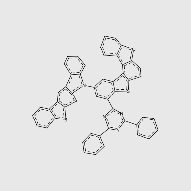 c1ccc(-c2nc(-c3ccccc3)nc(-c3cc(-n4c5ccccc5c5cc6c(cc54)sc4ccccc46)cc4c3sc3ccc5oc6ccccc6c5c34)n2)cc1